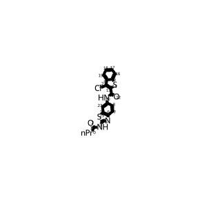 CCCC(=O)Nc1nc2ccc(NC(=O)c3sc4ccccc4c3Cl)cc2s1